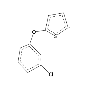 Clc1cccc(Oc2cc[c]s2)c1